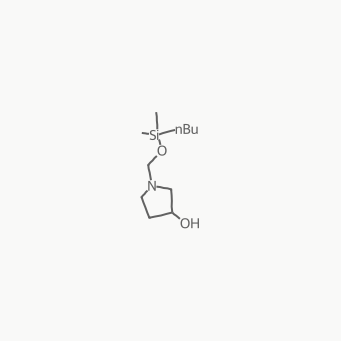 CCCC[Si](C)(C)OCN1CCC(O)C1